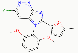 COc1cccc(OC)c1-n1c(-c2ccc(C)o2)nc2nnc(Cl)cc21